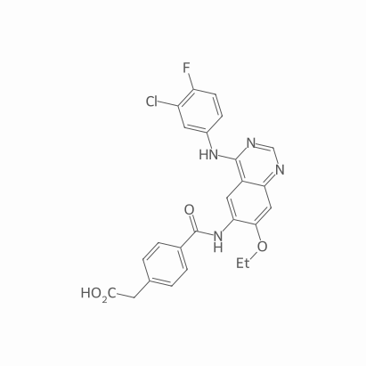 CCOc1cc2ncnc(Nc3ccc(F)c(Cl)c3)c2cc1NC(=O)c1ccc(CC(=O)O)cc1